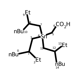 CCCCC(CC)[CH2][Sn]([CH2]C(=O)O)([CH2]C(CC)CCCC)[CH2]C(CC)CCCC